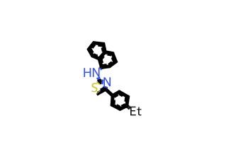 CCc1ccc(-c2csc(Nc3cccc4ccccc34)n2)cc1